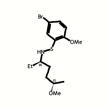 CC[C@H](CC[C@H](C)OC)NSc1cc(Br)ccc1OC